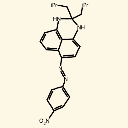 CC(C)CC1(CC(C)C)Nc2cccc3c(N=Nc4ccc([N+](=O)[O-])cc4)ccc(c23)N1